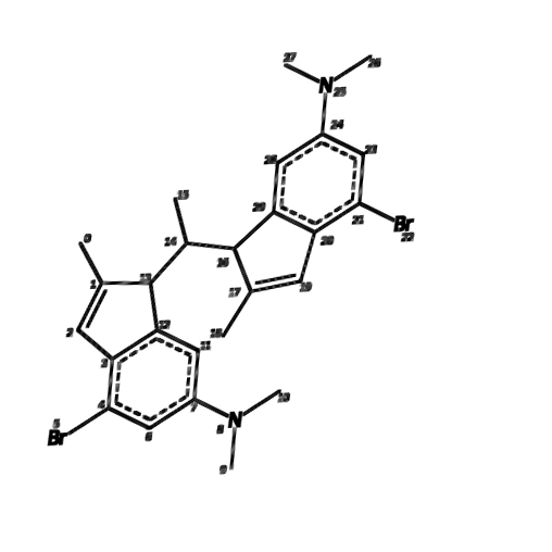 CC1=Cc2c(Br)cc(N(C)C)cc2C1C(C)C1C(C)=Cc2c(Br)cc(N(C)C)cc21